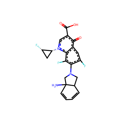 NC12C=CC=CC1CN(c1c(F)cc3c(=O)c(C(=O)O)cn([C@@H]4C[C@@H]4F)c3c1F)C2